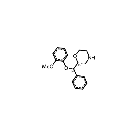 [11CH3]Oc1ccccc1O[C@@H](c1ccccc1)[C@H]1CNCCO1